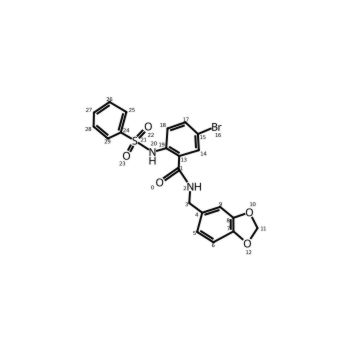 O=C(NCc1ccc2c(c1)OCO2)c1cc(Br)ccc1NS(=O)(=O)c1ccccc1